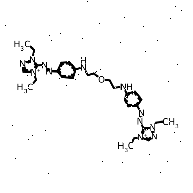 CCn1nc[n+](CC)c1N=Nc1ccc(NCCOCCNc2ccc(N=Nc3n(CC)nc[n+]3CC)cc2)cc1